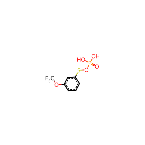 O=P(O)(O)OSc1cccc(OC(F)(F)F)c1